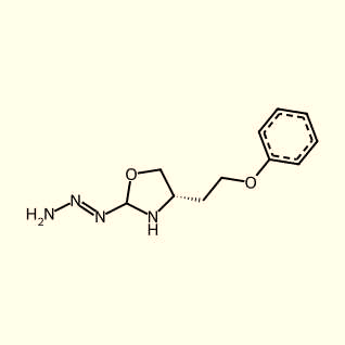 NN=NC1N[C@@H](CCOc2ccccc2)CO1